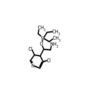 CC[Si](CC)(CC)OC(CN)C1C(Cl)=CN=CC1Cl